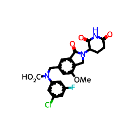 COc1cc(CN(C(=O)O)c2cc(F)cc(Cl)c2)cc2c1CN(C1CCC(=O)NC1=O)C2=O